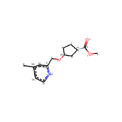 COC(=O)[C@H]1CC[C@H](OCc2cc(C)ccn2)C1